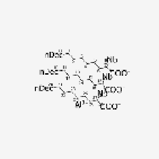 CCCCCCCCCCCCCCCC[CH]([Nb])C(=O)[O-].CCCCCCCCCCCCCCCC[CH]([Nb])C(=O)[O-].CCCCCCCCCCCCCCCC[CH]([Nb])C(=O)[O-].[Al+3]